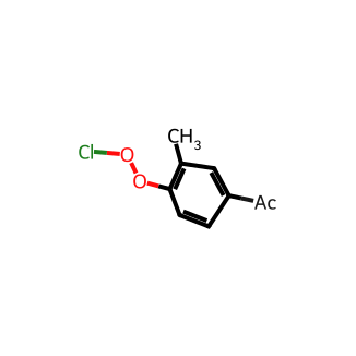 CC(=O)c1ccc(OOCl)c(C)c1